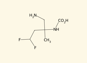 CC(CN)(CC(F)F)NC(=O)O